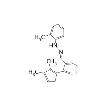 CC1=CCC(c2ccccc2C=NNc2ccccc2C)=C1C